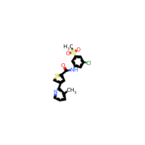 Cc1cccnc1-c1csc(C(=O)Nc2cc(Cl)cc(S(C)(=O)=O)c2)c1